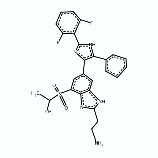 CC(C)S(=O)(=O)c1cc(-c2nc(-c3c(F)cccc3F)[nH]c2-c2ccccc2)cc2[nH]c(CCN)nc12